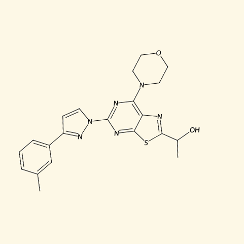 Cc1cccc(-c2ccn(-c3nc(N4CCOCC4)c4nc(C(C)O)sc4n3)n2)c1